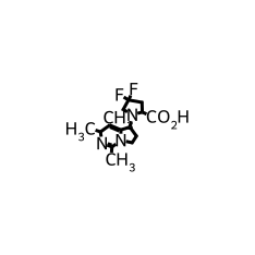 CC1=NC(C)C(C)=C2C(N3CC(F)(F)CC3C(=O)O)CCN12